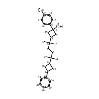 CC(C)(CCC(C)(C)C1CC(O)(c2ccc(Cl)cc2)C1)C1CC(c2ccccc2)C1